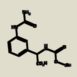 CC(C)(C)OC(=O)NC(C(=O)O)c1cccc(NC(N)=O)c1